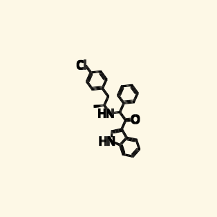 C[C@@H](Cc1ccc(Cl)cc1)NC(C(=O)c1c[nH]c2ccccc12)c1ccccc1